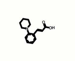 O=C(O)C=Cc1ccccc1N1CCCCC1